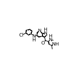 CN/C(=C\C(C)=N)C(=O)c1c[nH]c2ncc(Nc3cccc(Cl)c3)cc12